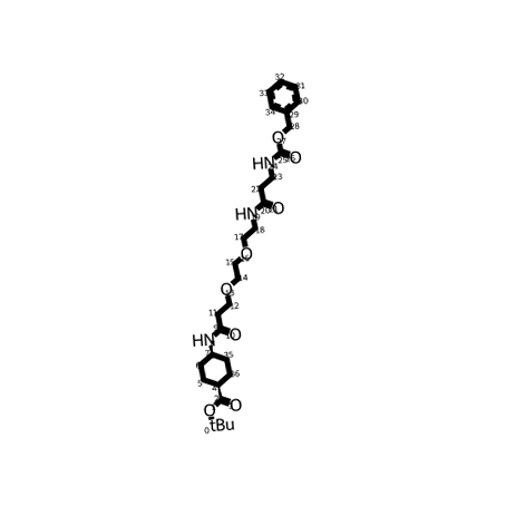 CC(C)(C)OC(=O)[C@H]1CC[C@@H](NC(=O)CCOCCOCCNC(=O)CCNC(=O)OCc2ccccc2)CC1